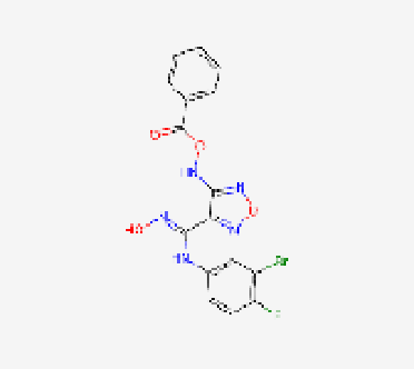 O=C(ONc1nonc1/C(=N/O)Nc1ccc(F)c(Br)c1)c1ccccc1